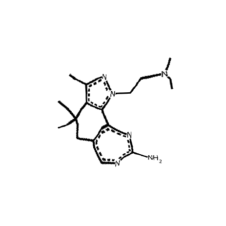 Cc1nn(CCN(C)C)c2c1C(C)(C)Cc1cnc(N)nc1-2